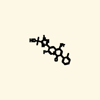 Cc1ccccc1-c1cc(C(C)C)c2cc(-c3nc(C(C)(C)O)n(C)n3)c(F)cn2c1=O